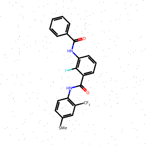 CSc1ccc(NC(=O)c2cccc(NC(=O)c3ccccc3)c2F)c(C(F)(F)F)c1